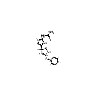 CC1(c2cnc(NC(N)=O)s2)CSC(Nc2ccccc2)=N1